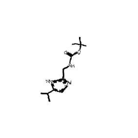 CC(C)c1cnc(CNC(=O)OC(C)(C)C)[nH]1